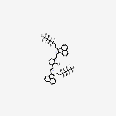 FC(F)(F)C(F)(F)C(F)(F)C(F)(F)CCn1/c(=C/C=C2\CCCC(/C=C/C3=[N+](CCC(F)(F)C(F)(F)C(F)(F)C(F)(F)F)c4cccc5cccc3c45)=C2Cl)c2cccc3cccc1c32